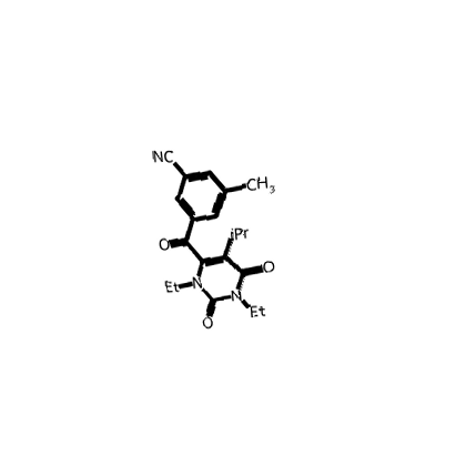 CCn1c(C(=O)c2cc(C)cc(C#N)c2)c(C(C)C)c(=O)n(CC)c1=O